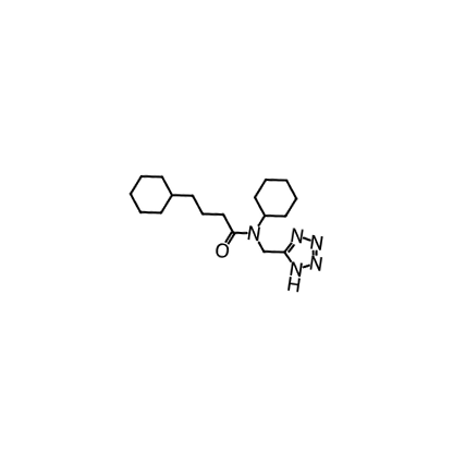 O=C(CCCC1CCCCC1)N(Cc1nnn[nH]1)C1CCCCC1